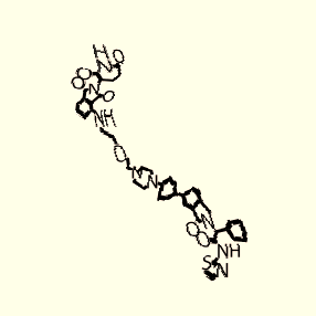 O=C1CCC(N2C(=O)c3cccc(NCCOCCN4CCN(c5ccc(-c6ccc7c(c6)C(=O)N(C(C(=O)Nc6nccs6)c6ccccc6)C7)cc5)CC4)c3C2=O)C(=O)N1